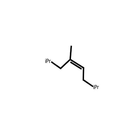 CC(=CCC(C)C)CC(C)C